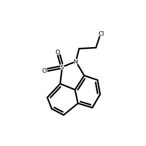 O=S1(=O)c2cccc3cccc(c23)N1CCCl